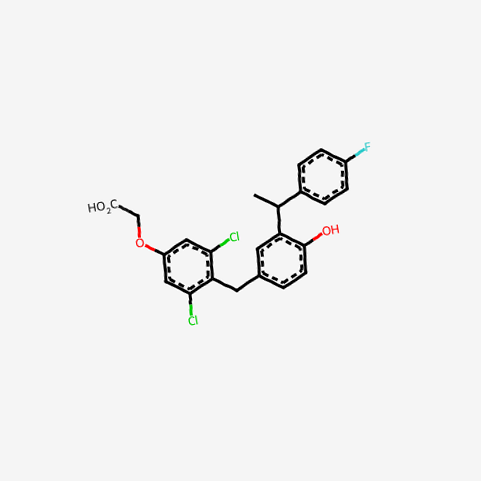 CC(c1ccc(F)cc1)c1cc(Cc2c(Cl)cc(OCC(=O)O)cc2Cl)ccc1O